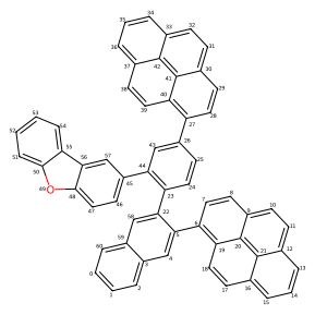 c1ccc2cc(-c3ccc4ccc5cccc6ccc3c4c56)c(-c3ccc(-c4ccc5ccc6cccc7ccc4c5c67)cc3-c3ccc4oc5ccccc5c4c3)cc2c1